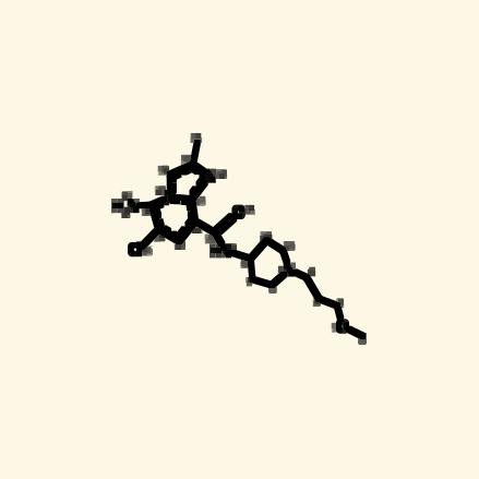 COCCCN1CCC(NC(=O)c2cc(Cl)c(N)n3cc(C)nc23)CC1